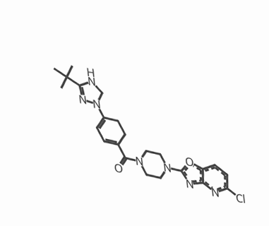 CC(C)(C)C1=NN(C2=CC=C(C(=O)N3CCN(c4nc5nc(Cl)ccc5o4)CC3)CC2)CN1